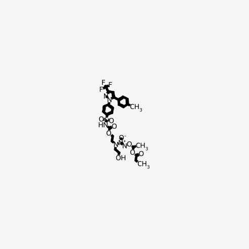 CCC(=O)OC(C)O/N=[N+](\[O-])N(CCO)CCOC(=O)NS(=O)(=O)c1ccc(-n2nc(C(F)(F)F)cc2-c2ccc(C)cc2)cc1